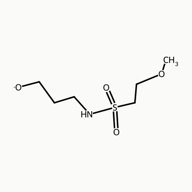 COCCS(=O)(=O)NCCC[O]